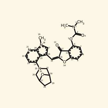 CN(C)C(=O)Oc1cccc2c1C(=O)C(=Cc1cn(C)c3nccc(N4CC5CCC(C4)O5)c13)O2